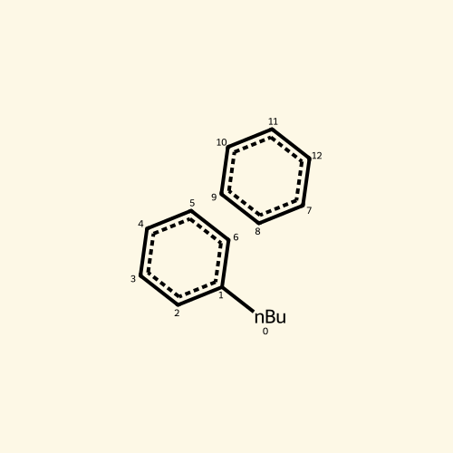 CCCCc1ccccc1.c1ccccc1